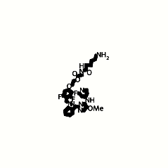 COc1cnc(-c2nn(Cc3c(F)cc(OCCOC(=O)CNC(=O)CCCCCN)cc3F)c3ccccc23)nc1Nc1ccnc(F)c1